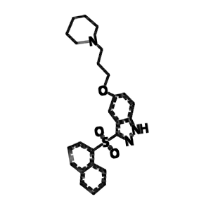 O=S(=O)(c1cccc2ccccc12)c1n[nH]c2ccc(OCCCN3CCCCC3)cc12